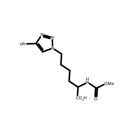 CCCc1cn(CCCCC(NC(=O)OC)C(=O)O)nn1